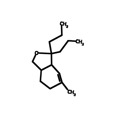 CCCC1(CCC)OCC2CCC(C)=CC21